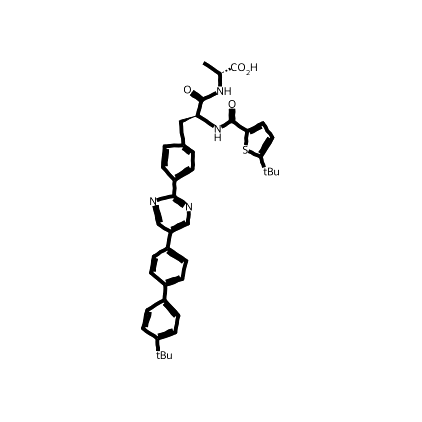 C[C@@H](NC(=O)[C@H](Cc1ccc(-c2ncc(-c3ccc(-c4ccc(C(C)(C)C)cc4)cc3)cn2)cc1)NC(=O)c1ccc(C(C)(C)C)s1)C(=O)O